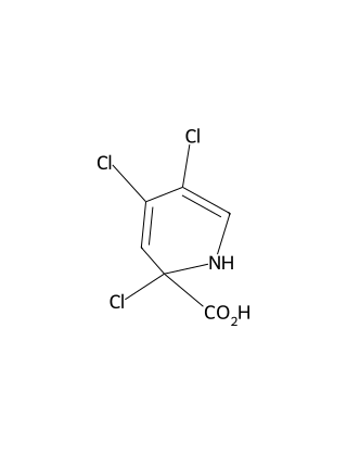 O=C(O)C1(Cl)C=C(Cl)C(Cl)=CN1